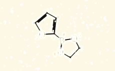 c1coc(B2OCCO2)c1